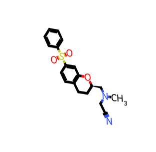 CN(CC#N)C[C@H]1CCc2ccc(S(=O)(=O)c3ccccc3)cc2O1